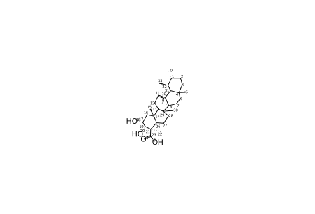 C[C@@H]1CC[C@]2(C)CC[C@]3(C)C(=CCC4[C@@]5(C)C[C@@H](O)[C@@H](O)[C@](C)(C(=O)O)C5CC[C@]43C)C2[C@H]1C